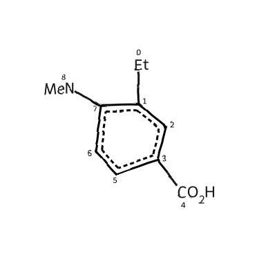 CCc1cc(C(=O)O)ccc1NC